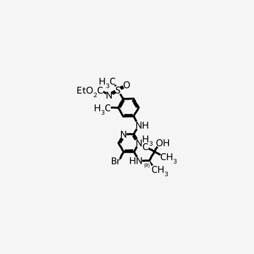 CCOC(=O)N=S(C)(=O)c1ccc(Nc2ncc(Br)c(N[C@H](C)C(C)(C)O)n2)cc1C